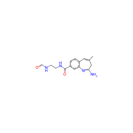 CC1=Cc2ccc(C(=O)NCCNC=O)cc2N=C(N)C1